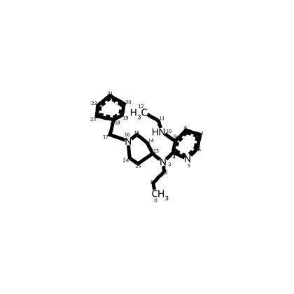 CCCN(c1ncccc1NCC)C1CCN(Cc2ccccc2)CC1